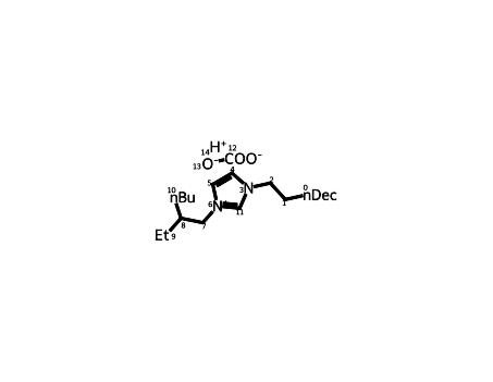 CCCCCCCCCCCCn1cc[n+](CC(CC)CCCC)c1.O=C([O-])[O-].[H+]